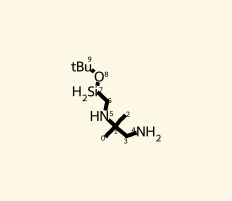 CC(C)(CN)NC[SiH2]OC(C)(C)C